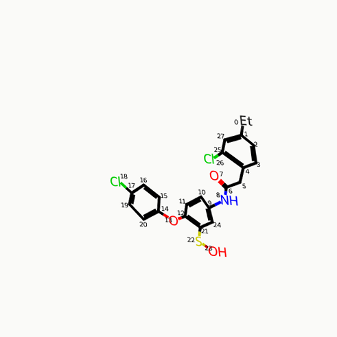 CCc1ccc(CC(=O)Nc2ccc(Oc3ccc(Cl)cc3)c(SO)c2)c(Cl)c1